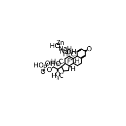 C[C@@H]1C[C@H]2[C@@H]3CCC4=CC(=O)C=C[C@]4(C)[C@@]3(F)[C@@H](O)C[C@]2(C)[C@@]1(O)C(=O)COP(=O)(O)O.Cl.[NaH].[NaH].[Zn]